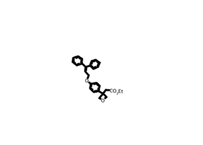 CCOC(=O)CC1(c2ccc(OCC=C(c3ccccc3)c3ccccc3)cc2)COC1